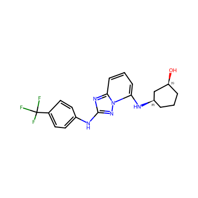 O[C@H]1CCC[C@@H](Nc2cccc3nc(Nc4ccc(C(F)(F)F)cc4)nn23)C1